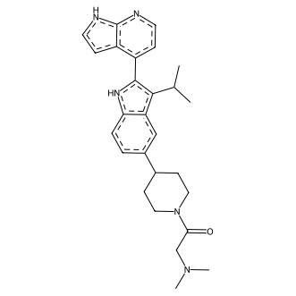 CC(C)c1c(-c2ccnc3[nH]ccc23)[nH]c2ccc(C3CCN(C(=O)CN(C)C)CC3)cc12